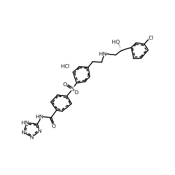 Cl.O=C(Nc1nnn[nH]1)c1ccc(S(=O)(=O)c2ccc(CCNC[C@H](O)c3cccc(Cl)c3)cc2)cc1